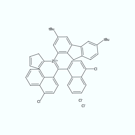 CC(C)(C)c1ccc2c(c1)-c1cc(C(C)(C)C)c[c]([Zr+2]([C]3=CC=CC3)=[C](c3ccc(Cl)c4ccccc34)c3ccc(Cl)c4ccccc34)c1C2.[Cl-].[Cl-]